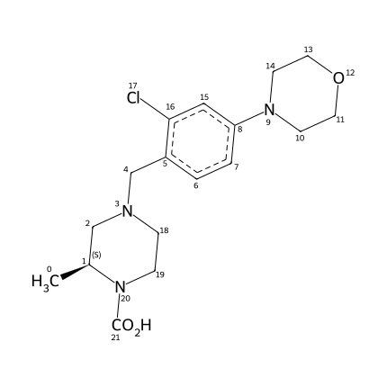 C[C@H]1CN(Cc2ccc(N3CCOCC3)cc2Cl)CCN1C(=O)O